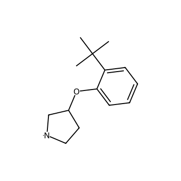 CC(C)(C)c1ccccc1OC1CC[N]C1